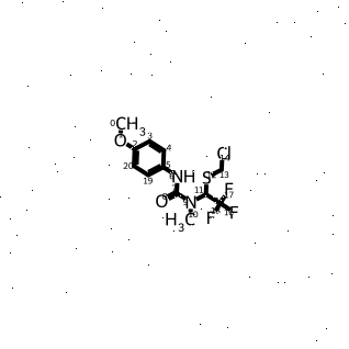 COc1ccc(NC(=O)N(C)C(SCCl)C(F)(F)F)cc1